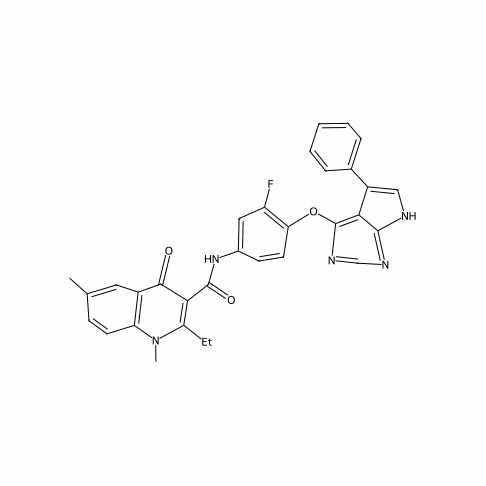 CCc1c(C(=O)Nc2ccc(Oc3ncnc4[nH]cc(-c5ccccc5)c34)c(F)c2)c(=O)c2cc(C)ccc2n1C